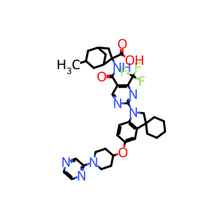 CC1CC2CC(C1)C(NC(=O)c1cnc(N3CC4(CCCCC4)c4cc(OC5CCN(c6cnccn6)CC5)ccc43)nc1C(F)(F)F)(C(=O)O)C2